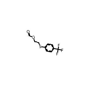 O=[C]OCCSc1ccc(C(F)(F)F)cc1